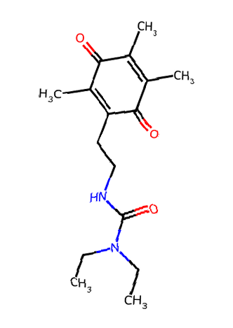 CCN(CC)C(=O)NCCC1=C(C)C(=O)C(C)=C(C)C1=O